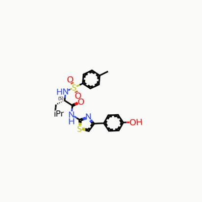 Cc1ccc(S(=O)(=O)N[C@@H](CC(C)C)C(=O)Nc2nc(-c3ccc(O)cc3)cs2)cc1